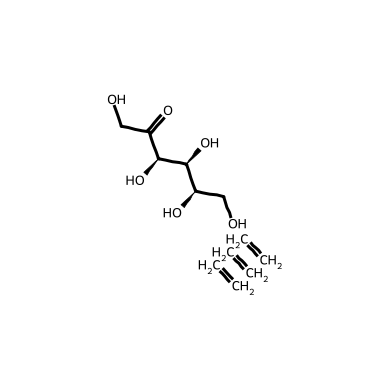 C=C.C=C.C=C.O=C(CO)[C@H](O)[C@@H](O)[C@H](O)CO